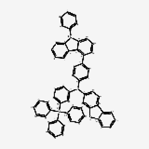 c1ccc(-n2c3ccccc3c3c(-c4ccc(N(c5cccc([Si](c6ccccc6)(c6ccccc6)c6ccccc6)c5)c5ccc6c(c5)sc5ccccc56)cc4)cccc32)cc1